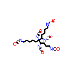 O=C=NCCCCCC(N=C=O)(C(CCCCN=C=O)N=C=O)C(CCCN=C=O)N=C=O